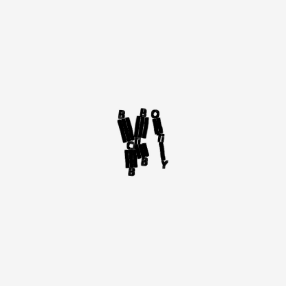 [B]#[Cr]#[B].[B]#[Ti]#[B].[O]=[Ti][Y]